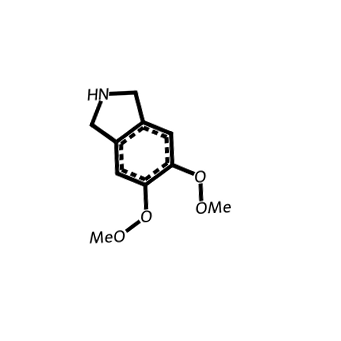 COOc1cc2c(cc1OOC)CNC2